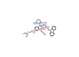 CCCCOc1cc(OCCCN(CC)CC)ccc1NC(=O)C(CC1CCCNC1)NC(=O)OCC1c2ccccc2-c2ccccc21